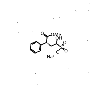 COC(=O)C(CC(O)S(=O)(=O)[O-])c1ccccc1.[Na+]